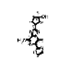 Cc1c(-c2ncco2)nc(N)c2nc([C@H]3CC[C@](C)(O)C3)nn12